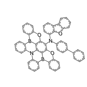 c1ccc(-c2ccc(N(c3c4c5c6c7c3Oc3ccccc3B7c3ccccc3N6c3ccccc3B5c3ccccc3O4)c3cccc4c3oc3ccccc34)cc2)cc1